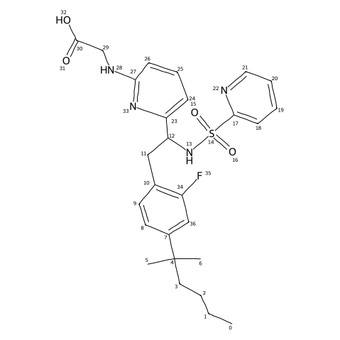 CCCCC(C)(C)c1ccc(CC(NS(=O)(=O)c2ccccn2)c2cccc(NCC(=O)O)n2)c(F)c1